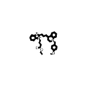 CCOC(=O)CCC[n+]1c(/C=C/C=C2\C=CN(Cc3ccc(OC)cc3)c3ccccc32)sc2ccccc21